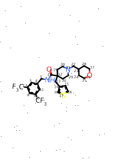 O=C(NCc1cc(C(F)(F)F)cc(C(F)(F)F)c1)C1(Cc2ccsc2)CCN(CC2CCOCC2)CC1